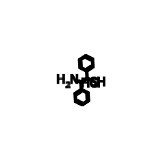 Cl.NC(c1ccccc1)C(S)c1ccccc1